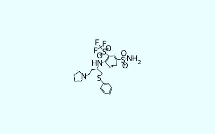 NS(=O)(=O)c1ccc(N[C@H](CCN2CCCC2)CSc2ccccc2)c(S(=O)(=O)C(F)(F)F)c1